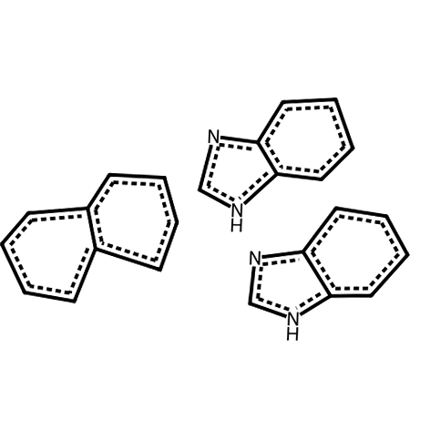 c1ccc2[nH]cnc2c1.c1ccc2[nH]cnc2c1.c1ccc2ccccc2c1